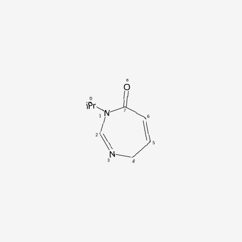 CC(C)N1C=NCC=CC1=O